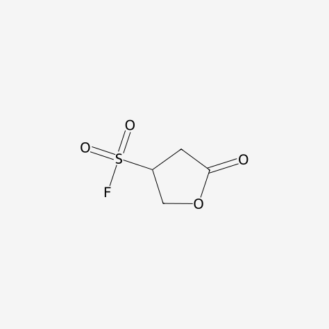 O=C1CC(S(=O)(=O)F)CO1